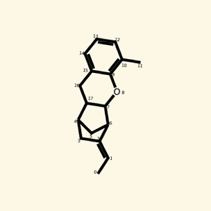 CC=C1CC2CC1C1Oc3c(C)cccc3CC21